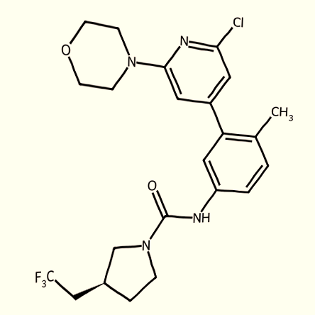 Cc1ccc(NC(=O)N2CC[C@@H](CC(F)(F)F)C2)cc1-c1cc(Cl)nc(N2CCOCC2)c1